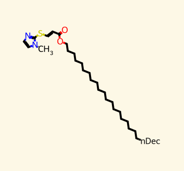 CCCCCCCCCCCCCCCCCCCCCCCCCCCCCCOC(=O)C=CSc1nccn1C